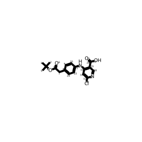 CC(C)(C)OC(=O)Cc1ccc(Nc2cc(Cl)ncc2C(=O)O)cc1